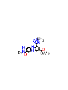 CCNC(=O)c1ccc(Nc2ccc(C(=O)OC)cc2-c2nnn(C)n2)cc1